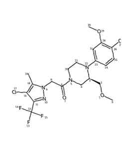 COC[C@H]1CN(C(=O)Cn2nc(C(F)(F)F)c(Cl)c2C)CCN1c1ccc(Cl)c(OC)c1